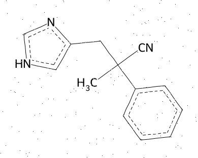 CC(C#N)(Cc1c[nH]cn1)c1ccccc1